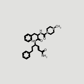 CN1CCN(C(=O)NC(Cc2ccccc2)C(=O)NC(/C=C/C(N)=O)CCc2ccccc2)CC1